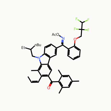 C/C=C\c1c(C(=O)c2c(C)cc(C)cc2C)cc2c3cc(/C(=N\OC(C)=O)c4ccccc4OCC(F)(F)C(F)F)ccc3n(CC(CC)CCCC)c2c1C